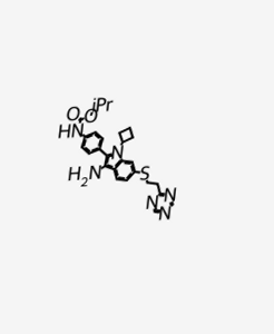 CC(C)OC(=O)Nc1ccc(-c2c(N)c3ccc(SCCc4ncncn4)cc3n2C2CCC2)cc1